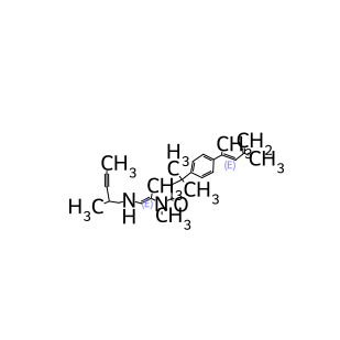 C=C(C)/C=C(\C)c1ccc(C(C)(C)CC(=O)N(C)/C(C)=C/NCC(C)C#CC)cc1